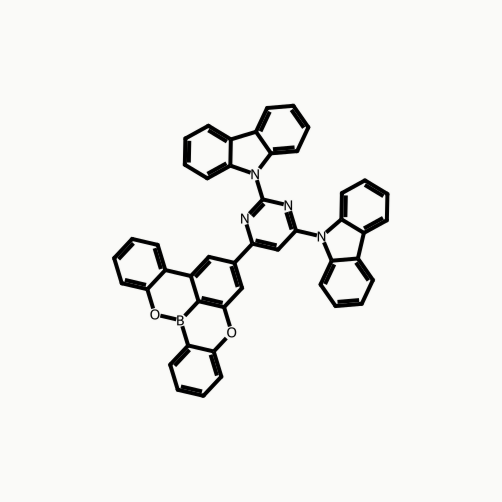 c1ccc2c(c1)Oc1cc(-c3cc(-n4c5ccccc5c5ccccc54)nc(-n4c5ccccc5c5ccccc54)n3)cc3c1B2Oc1ccccc1-3